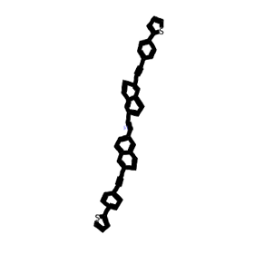 C(#Cc1ccc2cc(/C=C/c3ccc4cc(C#Cc5ccc(-c6cccs6)cc5)ccc4c3)ccc2c1)c1ccc(-c2cccs2)cc1